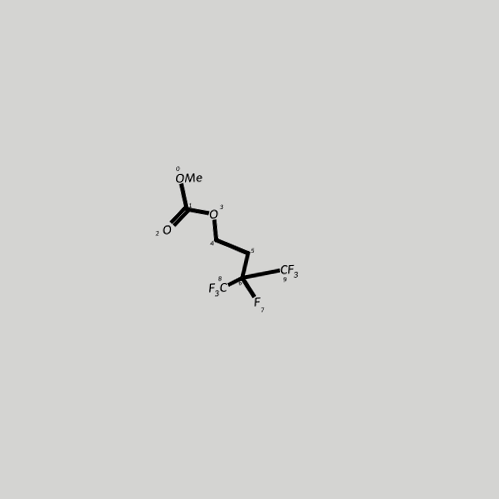 COC(=O)OCCC(F)(C(F)(F)F)C(F)(F)F